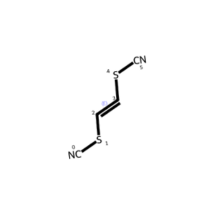 N#CS/C=C/SC#N